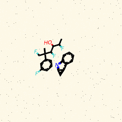 CC(F)C(O)C(F)C(C)(CF)c1cccc(F)c1.c1ccc2c3cc-3nc2c1